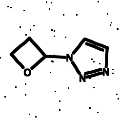 c1cn(C2CCO2)nn1